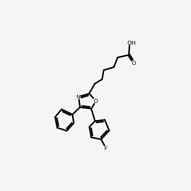 O=C(O)CCCCCc1nc(-c2ccccc2)c(-c2ccc(F)cc2)o1